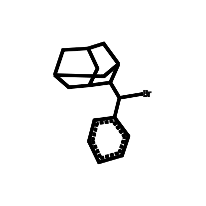 BrC(c1ccccc1)C1C2CC3CC(C2)CC1C3